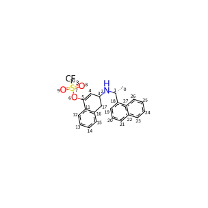 C[C@@H](NC1C=C(OS(=O)(=O)C(F)(F)F)c2ccccc2C1)c1cccc2ccccc12